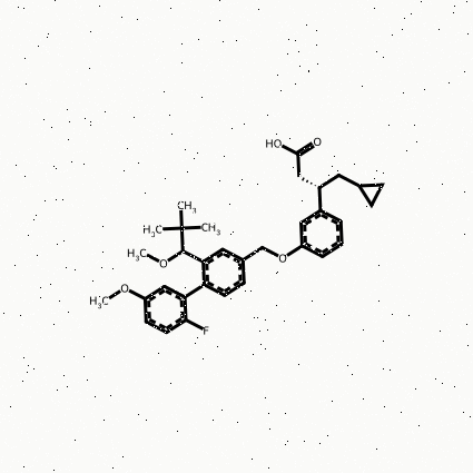 COc1ccc(F)c(-c2ccc(COc3cccc([C@H](CC(=O)O)CC4CC4)c3)cc2C(OC)C(C)(C)C)c1